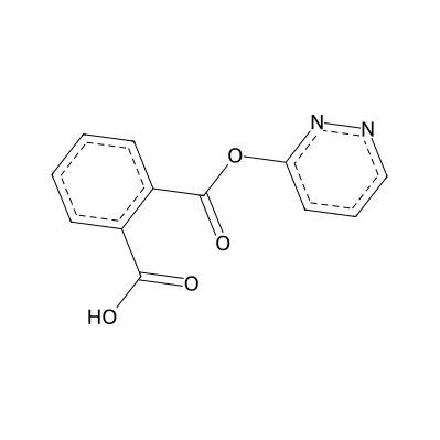 O=C(O)c1ccccc1C(=O)Oc1cccnn1